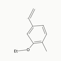 C=[C]c1ccc(C)c(OCC)c1